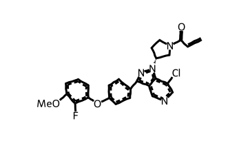 C=CC(=O)N1CC[C@@H](n2nc(-c3ccc(Oc4cccc(OC)c4F)cc3)c3cncc(Cl)c32)C1